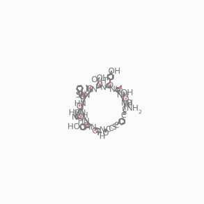 CCC[C@@H]1NC(=O)C(CCc2ccc(O)cc2)NC(=O)[C@H](CCC(=O)O)NC(=O)[C@H](CCC)NC(=O)[C@H](Cc2nc3ccccc3s2)NC(=O)[C@H]([C@@H](C)O)NC(=O)[C@H](Cc2cnc[nH]2)NC(=O)[C@H](Cc2ccc(O)cc2)NC(=O)[C@H](C(C)(C)C)NC(=O)CCSCc2cccc(c2)CSC[C@@H](C(N)=O)NC(=O)[C@H]([C@@H](C)O)NC1=O